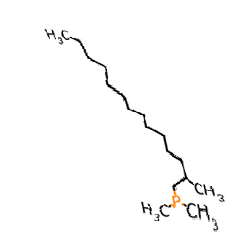 CCCCCCCCCCCCC(C)CP(C)C